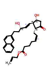 C=CCOC(=O)CCC/C=C\C[C@H]1C(=O)C[C@@H](O)[C@@H]1/C=C/[C@@H](O)CCc1ccc2ccccc2c1